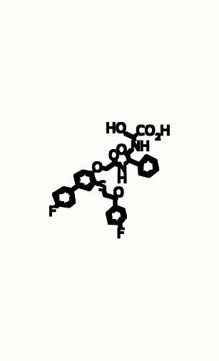 O=C(COc1ccc(-c2ccc(F)cc2)cc1SCC(=O)c1ccc(F)cc1)N[C@@H](C(=O)N[C@@H](CO)C(=O)O)c1ccccc1